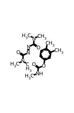 CN(C)C(=O)N=NC(=O)N(C)C.CNC(=O)Oc1ccc(C)c(C)c1